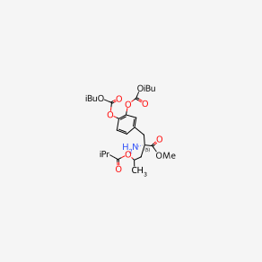 COC(=O)[C@](N)(Cc1ccc(OC(=O)OCC(C)C)c(OC(=O)OCC(C)C)c1)CC(C)OC(=O)C(C)C